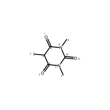 CN1C(=O)C(I)C(=O)N(C)C1=O